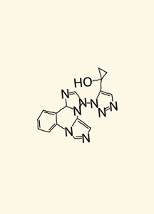 OC1(c2cnnn2N2C=NC3c4ccccc4-n4cncc4N32)CC1